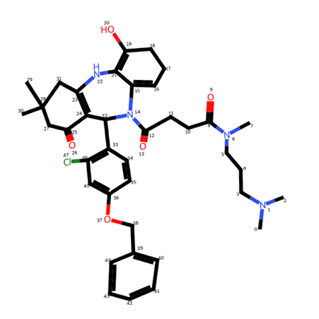 CN(C)CCCN(C)C(=O)CCC(=O)N1C2=CCCC(O)=C2NC2=C(C(=O)CC(C)(C)C2)C1c1ccc(OCc2ccccc2)cc1Cl